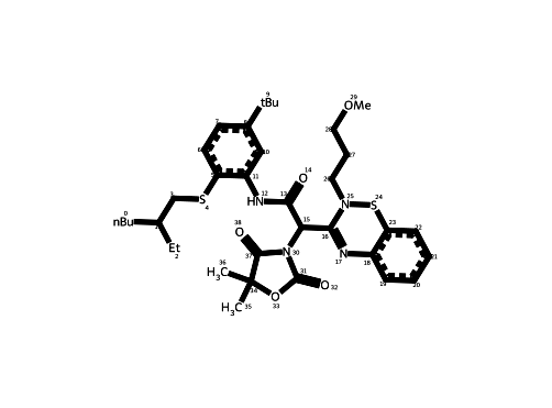 CCCCC(CC)CSc1ccc(C(C)(C)C)cc1NC(=O)C(C1=Nc2ccccc2SN1CCCOC)N1C(=O)OC(C)(C)C1=O